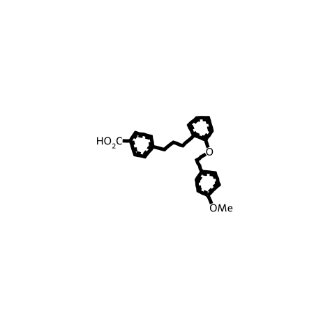 COc1ccc(COc2ccccc2CCCc2ccc(C(=O)O)cc2)cc1